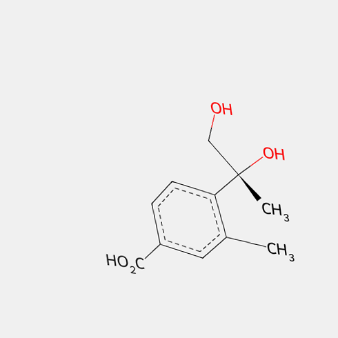 Cc1cc(C(=O)O)ccc1[C@@](C)(O)CO